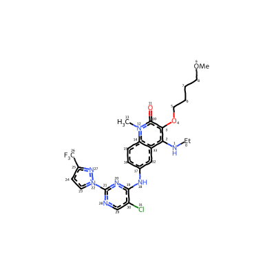 CCNc1c(OCCCCOC)c(=O)n(C)c2ccc(Nc3nc(-n4ccc(C(F)(F)F)n4)ncc3Cl)cc12